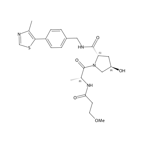 COCCC(=O)N[C@H](C)C(=O)N1C[C@H](O)C[C@H]1C(=O)NCc1ccc(-c2scnc2C)cc1